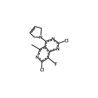 Cc1nc(Cl)c(F)c2nc(Cl)nc(N3CC=CC3)c12